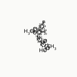 CCc1c(C(=O)O)ccn(C2CCN(Cc3cc(C4CC4)c(-c4ccc(F)cc4)cc3OC(C)C)CC2)c1=O